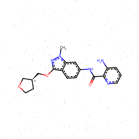 Cn1nc(OC[C@H]2CCOC2)c2ccc(NC(=O)c3ncccc3N)cc21